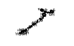 O=C(COCCOCC(=O)NCc1ccc(C2C(CCC(O)c3ccc(F)cc3)C(=O)N2c2ccc(F)cc2)cc1)NCCOCCOCC(=O)C(O)C(O)C(O)C(O)CO